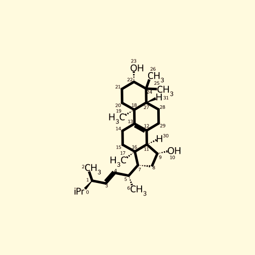 CC(C)[C@@H](C)C=C[C@@H](C)[C@H]1C[C@@H](O)[C@@H]2C3=C(CC[C@]12C)[C@@]1(C)CC[C@H](O)C(C)(C)[C@@H]1CC3